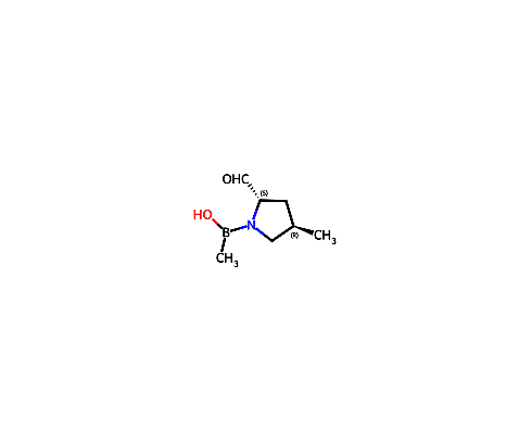 CB(O)N1C[C@H](C)C[C@H]1C=O